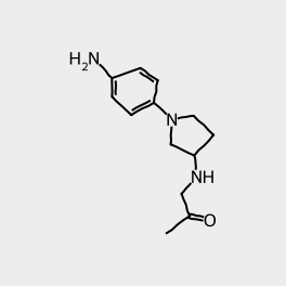 CC(=O)CNC1CCN(c2ccc(N)cc2)C1